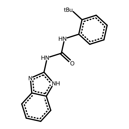 CC(C)(C)c1ccccc1NC(=O)Nc1nc2ccccc2[nH]1